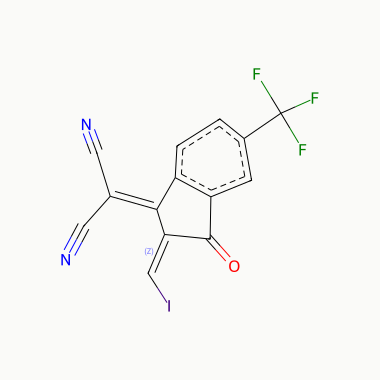 N#CC(C#N)=C1/C(=C/I)C(=O)c2cc(C(F)(F)F)ccc21